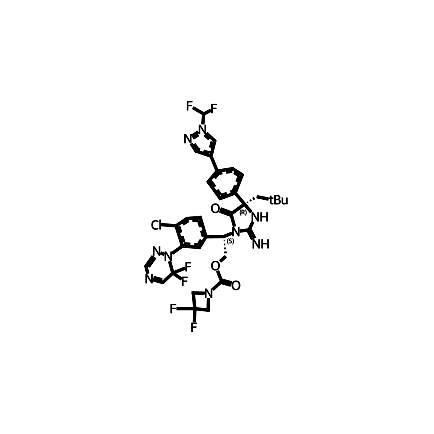 CC(C)(C)C[C@]1(c2ccc(-c3cnn(C(F)F)c3)cc2)NC(=N)N([C@H](COC(=O)N2CC(F)(F)C2)c2ccc(Cl)c(N3N=CN=CC3(F)F)c2)C1=O